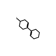 IC1CC=C(C2=CCCCC2)CC1